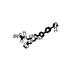 COC(=O)NCC(=O)N(Cc1ncc(-c2ccc(-c3ccc(-c4cnc[nH]4)cc3)cc2)[nH]1)CC1(C)OCCO1